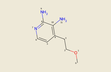 COCCc1ccnc(N)c1N